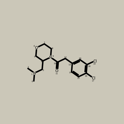 CN(C)CC1COCCN1C(=O)Cc1ccc(Cl)c(Cl)c1